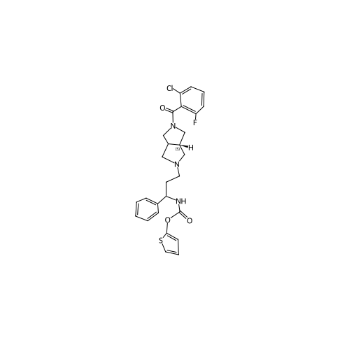 O=C(NC(CCN1CC2CN(C(=O)c3c(F)cccc3Cl)C[C@@H]2C1)c1ccccc1)Oc1cccs1